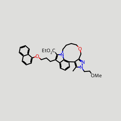 CCOC(=O)c1c(CCCOc2cccc3ccccc23)c2cccc3c2n1CCCCOCc1nn(CCOC)c(C)c1-3